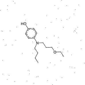 CCCCN(CCCOCC)c1ccc(O)cc1